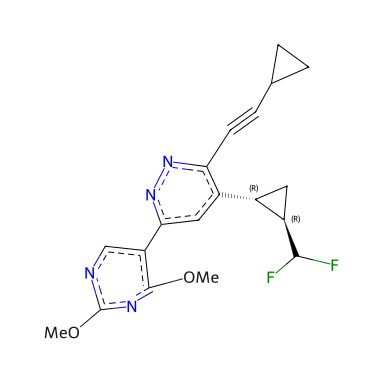 COc1ncc(-c2cc([C@@H]3C[C@H]3C(F)F)c(C#CC3CC3)nn2)c(OC)n1